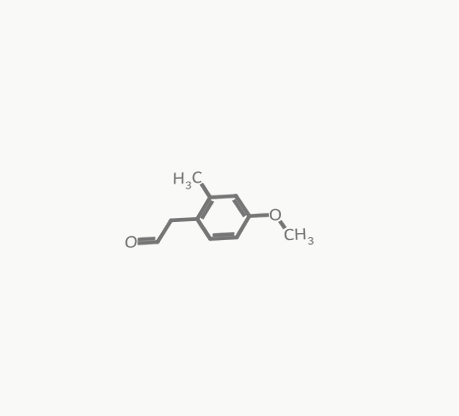 COc1ccc(CC=O)c(C)c1